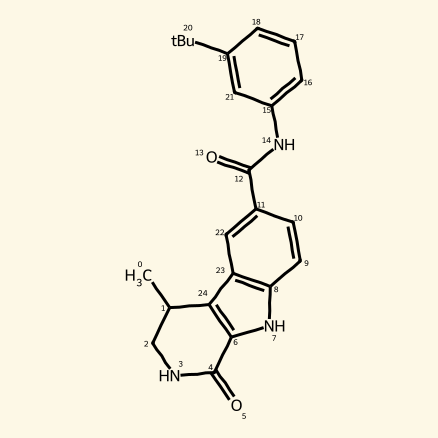 CC1CNC(=O)c2[nH]c3ccc(C(=O)Nc4cccc(C(C)(C)C)c4)cc3c21